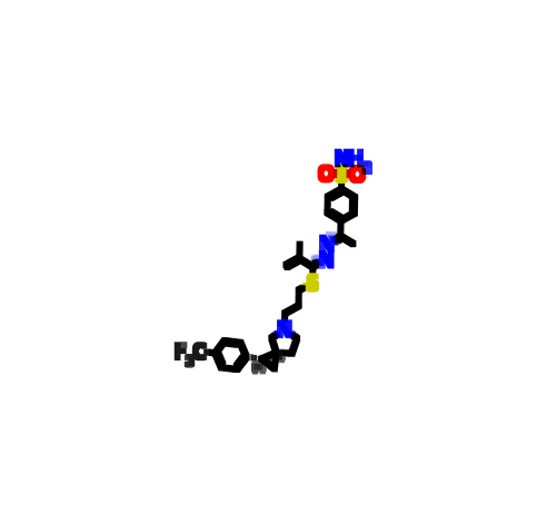 C=C(C)/C(=N\N=C(/C)c1ccc(S(N)(=O)=O)cc1)SCCCN1CC[C@]2(C[C@@H]2c2ccc(C(F)(F)F)cc2)C1